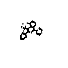 Nc1cccc2c(-c3ccncn3)nc(-c3ccccc3)c(C(F)(F)F)c12